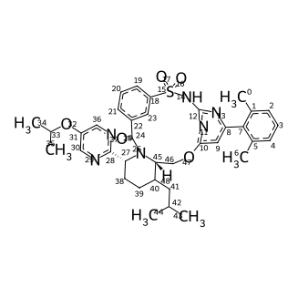 Cc1cccc(C)c1-c1cc2nc(n1)NS(=O)(=O)c1cccc(c1)C(=O)N1[C@@H](c3ncc(OC(C)C)cn3)CCC(CC(C)C)[C@H]1CO2